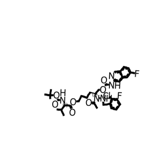 CC(=O)N(NCc1cccc(F)c1Cl)[C@@H](CCCCOC(=O)[C@@H](NC(=O)OC(C)(C)C)C(C)C)COC(=O)Nc1cc2cc(F)ccc2cn1